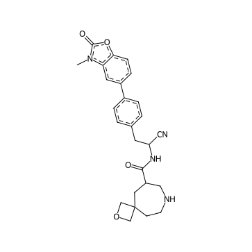 Cn1c(=O)oc2ccc(-c3ccc(CC(C#N)NC(=O)C4CNCCC5(COC5)C4)cc3)cc21